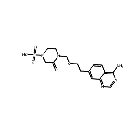 Nc1ncnc2cc(CCOCN3CCN(S(=O)(=O)O)CC3=O)ccc12